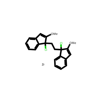 COC1=Cc2ccccc2C1(Cl)CCC1(Cl)C(OC)=Cc2ccccc21.[Zr]